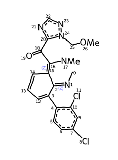 C/N=C1/C(c2ccc(Cl)cc2Cl)=CC=C/C1=C(/NC)C(=O)c1ncnn1COC